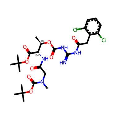 C[C@@H](OC(=O)NC(=N)NC(=O)Cc1c(Cl)cccc1Cl)[C@H](NC(=O)CN(C)C(=O)OC(C)(C)C)C(=O)OC(C)(C)C